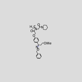 COCC/C(=N\OCc1ccccc1)c1ccc(OCC(=O)N(C)CC(=O)N2CCCCC2)cc1